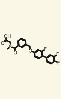 CN(CC(=O)O)C(=O)c1cccc(COc2ccc(-c3ccc(F)c(F)c3)c(F)c2)c1